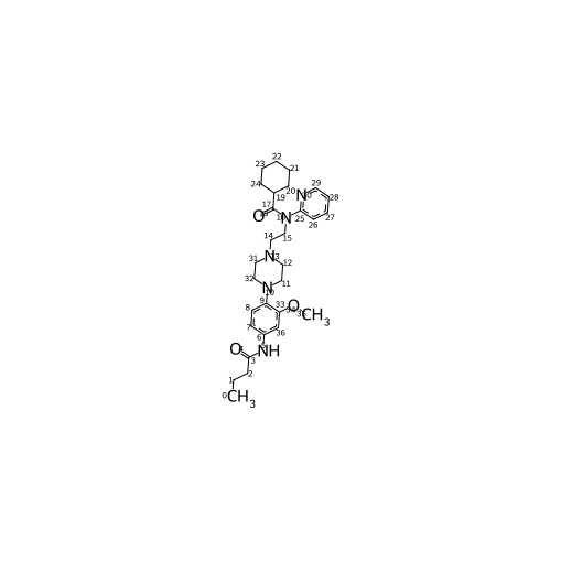 CCCC(=O)Nc1ccc(N2CCN(CCN(C(=O)C3CCCCC3)c3ccccn3)CC2)c(OC)c1